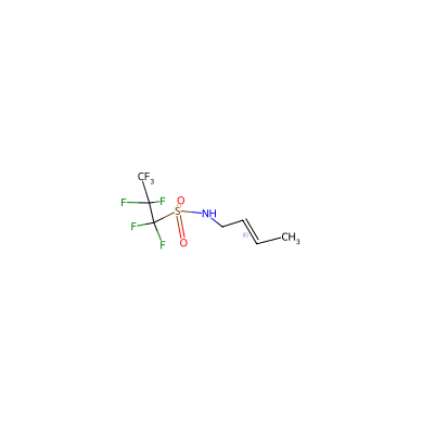 C/C=C/CNS(=O)(=O)C(F)(F)C(F)(F)C(F)(F)F